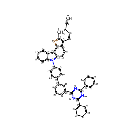 C#CC/C=C\c1c(C)sc2c1ccc1c2c2ccccc2n1-c1ccc(-c2cccc(-c3nc(C4=CCCC=C4)nc(-c4ccccc4)n3)c2)cc1